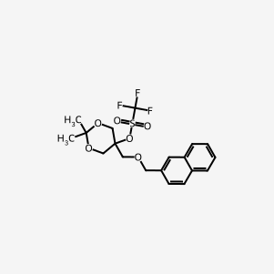 CC1(C)OCC(COCc2ccc3ccccc3c2)(OS(=O)(=O)C(F)(F)F)CO1